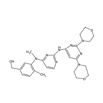 Cc1ccc(CO)cc1N(C)c1ccnc(Nc2cc(N3CCOCC3)nc(N3CCOCC3)n2)n1